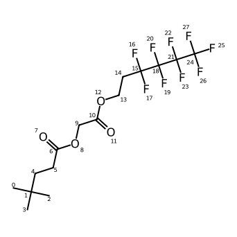 CC(C)(C)CCC(=O)OCC(=O)OCCC(F)(F)C(F)(F)C(F)(F)C(F)(F)F